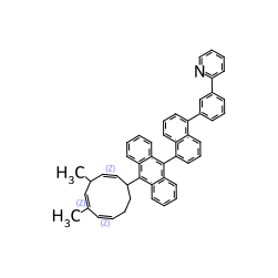 CC1=C/C(C)/C=C\C(c2c3ccccc3c(-c3cccc4c(-c5cccc(-c6ccccn6)c5)cccc34)c3ccccc23)CC/C=C\1